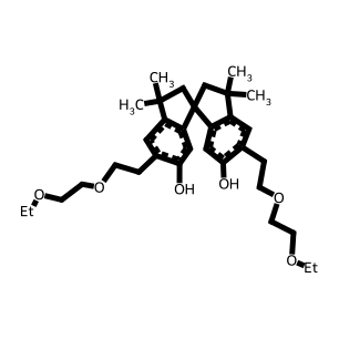 CCOCCOCCc1cc2c(cc1O)C1(CC2(C)C)CC(C)(C)c2cc(CCOCCOCC)c(O)cc21